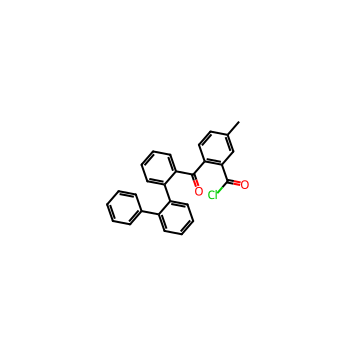 Cc1ccc(C(=O)c2ccccc2-c2ccccc2-c2ccccc2)c(C(=O)Cl)c1